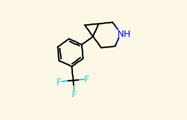 FC(F)(F)c1cccc(C23CCNCC2C3)c1